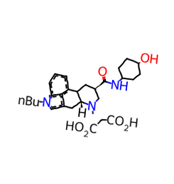 CCCCn1cc2c3c(cccc31)C1C[C@@H](C(=O)NC3CCC(O)CC3)CN(C)[C@@H]1C2.O=C(O)CC(=O)O